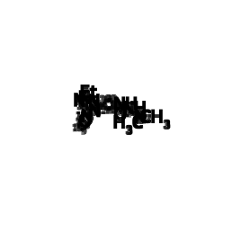 CCn1ncc2c(N3CC4CCC(C3)O4)nc(-c3ccc(NC(=O)NCCN(C)C)cc3)nc21